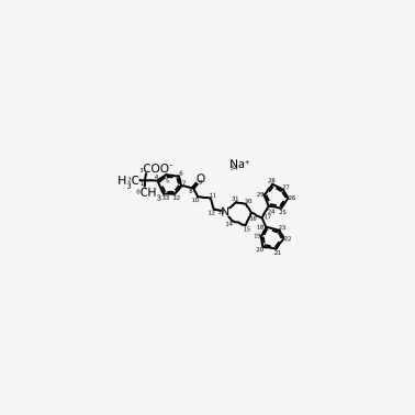 CC(C)(C(=O)[O-])c1ccc(C(=O)CCCN2CCC(C(c3ccccc3)c3ccccc3)CC2)cc1.[Na+]